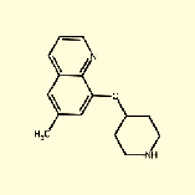 Cc1cc(OC2CCNCC2)c2ncccc2c1